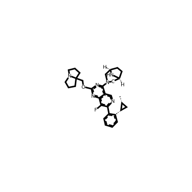 C[C@@H]1C[C@@H]1c1ccccc1-c1ncc2c(N3C[C@H]4CC[C@@H](C3)N4)nc(OCC34CCCN3CCC4)nc2c1F